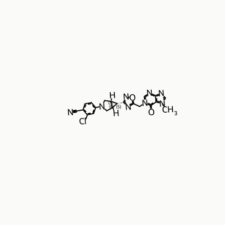 Cn1cnc2ncn(Cc3nc([C@@H]4[C@@H]5CN(c6ccc(C#N)c(Cl)c6)C[C@@H]54)no3)c(=O)c21